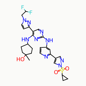 CC1(O)CCC(Nc2nc(Nc3ccnc(-c4cnn(S(=O)(=O)C5CC5)c4)c3)ncc2-c2ccn(CC(F)F)n2)CC1